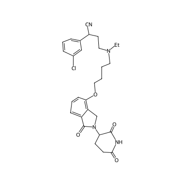 CCN(CCCCOc1cccc2c1CN(C1CCC(=O)NC1=O)C2=O)CCC(C#N)c1cccc(Cl)c1